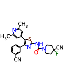 Cc1cc(-c2sc(NC(=O)N3CCC(F)(C#N)CC3)nc2-c2cccc(C#N)c2)cc(C)n1